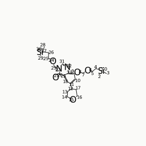 C[Si](C)(C)CCOCOc1cc(C2CCOCC2)cc2c(=O)n(COCC[Si](C)(C)C)cnc12